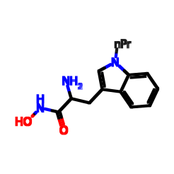 CCCn1cc(CC(N)C(=O)NO)c2ccccc21